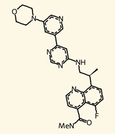 CNC(=O)c1ccnc2c([C@H](C)CNc3cc(-c4cncc(N5CCOCC5)c4)ncn3)ccc(F)c12